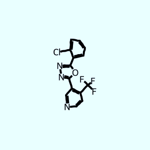 FC(F)(F)c1ccncc1-c1nnc(-c2ccccc2Cl)o1